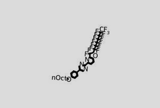 CCCCCCCCOc1ccc(-c2cnc(-c3ccc4c(n3)C(F)(F)C(C(F)(F)C(F)(F)C(F)(F)C(F)(F)C(F)(F)C(F)(F)C(F)(F)F)O4)nc2)cc1